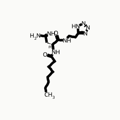 CCCCCCCC(=O)N[C@H](CC(=N)N)C(=O)NCCc1nnn[nH]1